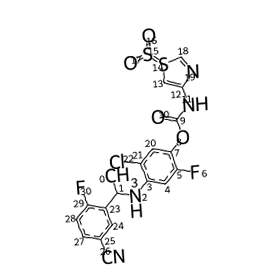 CC(Nc1cc(F)c(OC(=O)NC2=CS(=S(=O)=O)C=N2)cc1Cl)c1cc(C#N)ccc1F